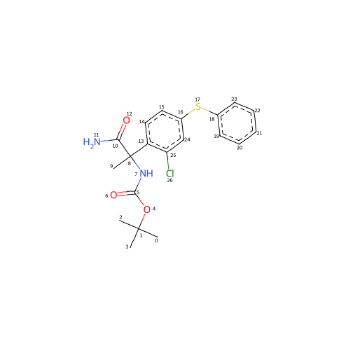 CC(C)(C)OC(=O)NC(C)(C(N)=O)c1ccc(Sc2ccccc2)cc1Cl